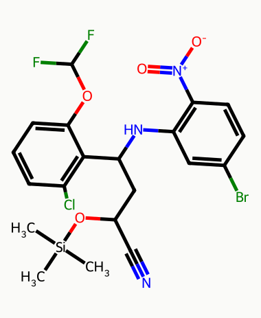 C[Si](C)(C)OC(C#N)CC(Nc1cc(Br)ccc1[N+](=O)[O-])c1c(Cl)cccc1OC(F)F